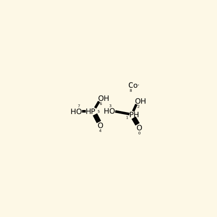 O=[PH](O)O.O=[PH](O)O.[Co]